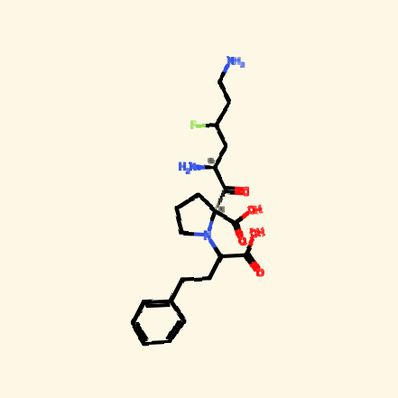 NCCC(F)C[C@H](N)C(=O)[C@@]1(C(=O)O)CCCN1C(CCc1ccccc1)C(=O)O